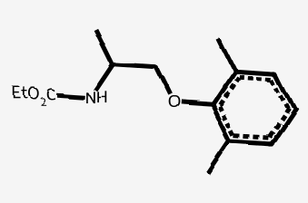 CCOC(=O)NC(C)COc1c(C)cccc1C